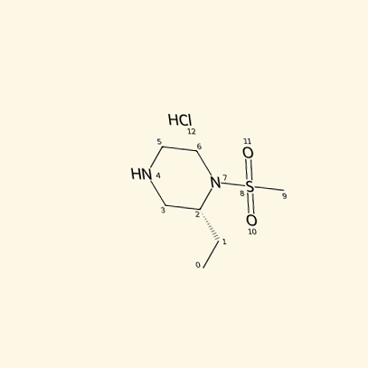 CC[C@@H]1CNCCN1S(C)(=O)=O.Cl